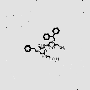 NCC(=O)N(CC(=O)NCC(=O)N(CCc1ccccc1)CC(=O)NCC(=O)O)CC(c1ccccc1)c1ccccc1